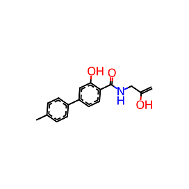 C=C(O)CNC(=O)c1ccc(-c2ccc(C)cc2)cc1O